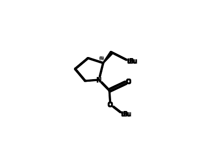 CC(C)(C)C[C@@H]1CCCN1C(=O)OC(C)(C)C